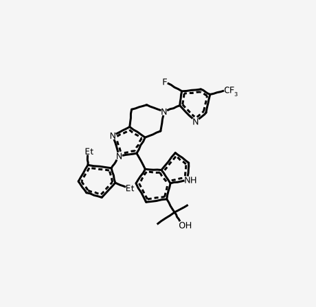 CCc1cccc(CC)c1-n1nc2c(c1-c1ccc(C(C)(C)O)c3[nH]ccc13)CN(c1ncc(C(F)(F)F)cc1F)CC2